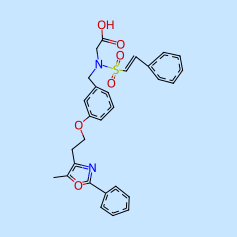 Cc1oc(-c2ccccc2)nc1CCOc1cccc(CN(CC(=O)O)S(=O)(=O)/C=C/c2ccccc2)c1